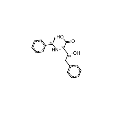 C[C@@H](N[C@H](C(=O)O)[C@H](O)Cc1ccccc1)c1ccccc1